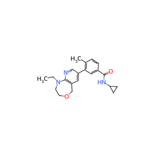 CCN1CCOCc2cc(-c3cc(C(=O)NC4CC4)ccc3C)cnc21